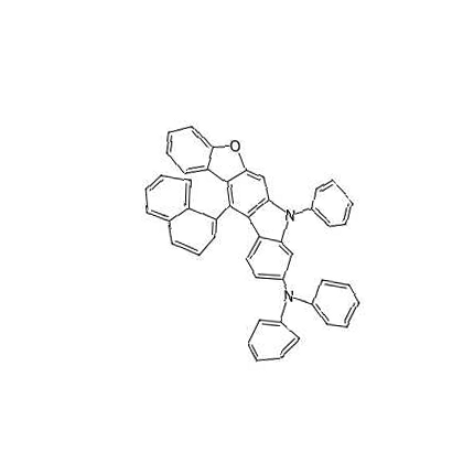 c1ccc(N(c2ccccc2)c2ccc3c4c(-c5cccc6ccccc56)c5c(cc4n(-c4ccccc4)c3c2)oc2ccccc25)cc1